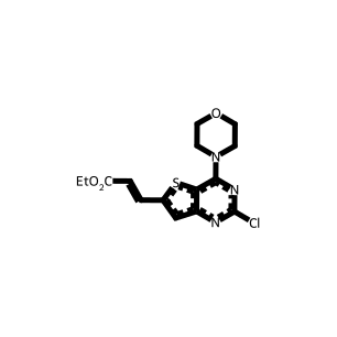 CCOC(=O)/C=C/c1cc2nc(Cl)nc(N3CCOCC3)c2s1